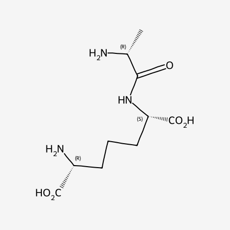 C[C@@H](N)C(=O)N[C@@H](CCC[C@@H](N)C(=O)O)C(=O)O